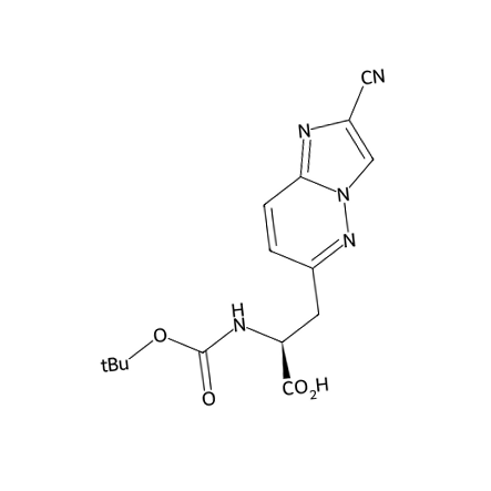 CC(C)(C)OC(=O)N[C@@H](Cc1ccc2nc(C#N)cn2n1)C(=O)O